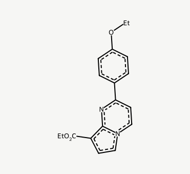 CCOC(=O)c1ccn2ccc(-c3ccc(OCC)cc3)nc12